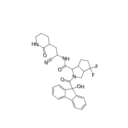 N#CC(CC1CCCNC1=O)NC(=O)C1C2CCC(F)(F)C2CN1C(=O)C1(O)c2ccccc2-c2ccccc21